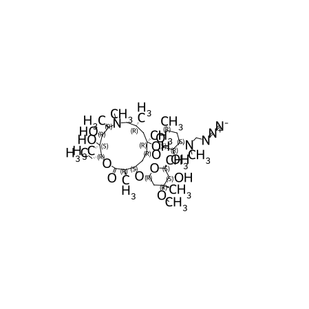 CC[C@H]1OC(=O)[C@H](C)[C@@H](O[C@H]2C[C@@](C)(OC)[C@@H](O)[C@H](C)O2)C[C@@H](O[C@@H]2O[C@H](C)C[C@H](N(C)CN=[N+]=[N-])[C@H]2O)[C@](C)(O)C[C@@H](C)CN(C)[C@H](C)[C@@H](O)[C@]1(C)O